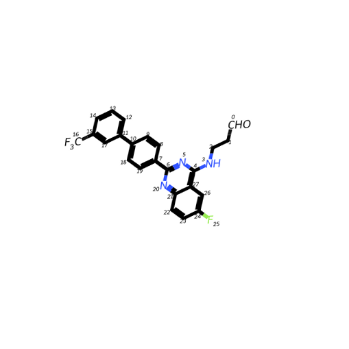 O=CCCNc1nc(-c2ccc(-c3cccc(C(F)(F)F)c3)cc2)nc2ccc(F)cc12